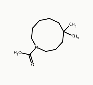 CC(=O)N1CCCCCC(C)(C)CCC1